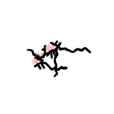 CCCCCCCC(C)(CCCCCCC)C(C)(C)BC(C)(C)C(C)(C)BC(C)(C)C(C)(C)BC(C)(C)C(C)(C)BC(C)(C)C(C)(CCCCCC)CCCCCC